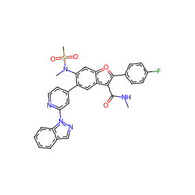 CNC(=O)c1c(-c2ccc(F)cc2)oc2cc(N(C)S(C)(=O)=O)c(-c3ccnc(-n4ncc5ccccc54)c3)cc12